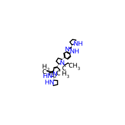 C=C/C(=C\c1nc([C@@H]2CCCN2)[nH]c1C=C)[C@@H]1CC[C@H](c2ccc3[nH]c([C@@H]4CCCN4)nc3c2)N1C(C)CC